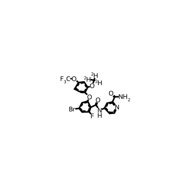 [2H]C([2H])([2H])Oc1cc(OC(F)(F)F)ccc1Oc1cc(Br)cc(F)c1C(=O)Nc1ccnc(C(N)=O)c1